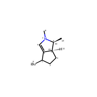 CCC(C)C1CC[C@H]2C1=CN(C)[C@H]2C